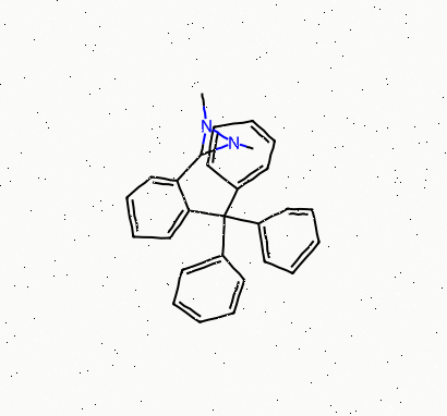 CN1C(c2ccccc2C(c2ccccc2)(c2ccccc2)c2ccccc2)N1C